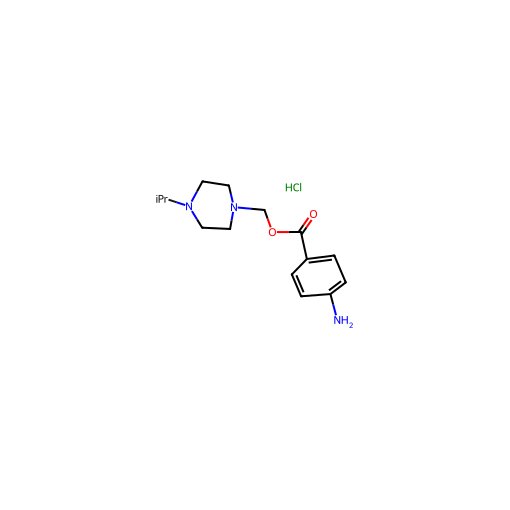 CC(C)N1CCN(COC(=O)c2ccc(N)cc2)CC1.Cl